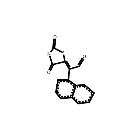 O=C/C(=C1\SC(=O)NC1=O)c1cccc2ccccc12